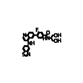 O=C(NC(CO)CO)c1ccc(-c2ccc3nccc(Nc4ccc5scnc5c4)c3c2)c(F)c1